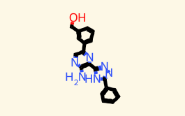 Nc1ncc(-c2cccc(CO)c2)nc1-c1nnc(-c2ccccc2)[nH]1